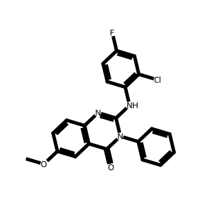 COc1ccc2nc(Nc3ccc(F)cc3Cl)n(-c3ccccc3)c(=O)c2c1